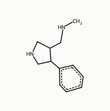 CNCC1CNCC1c1ccccc1